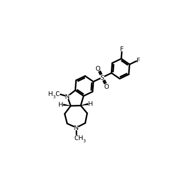 CN1CC[C@H]2c3cc(S(=O)(=O)c4ccc(F)c(F)c4)ccc3N(C)[C@H]2CC1